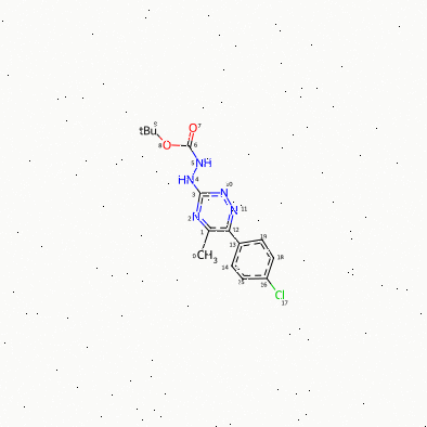 Cc1nc(NNC(=O)OC(C)(C)C)nnc1-c1ccc(Cl)cc1